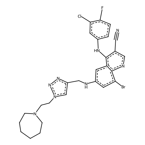 N#Cc1cnc2c(Br)cc(NCc3cn(CCN4CCCCCC4)nn3)cc2c1Nc1ccc(F)c(Cl)c1